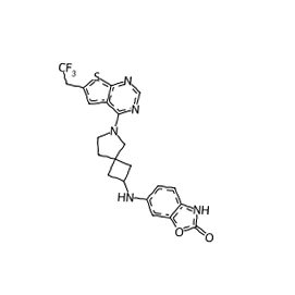 O=c1[nH]c2ccc(NC3CC4(CCN(c5ncnc6sc(CC(F)(F)F)cc56)C4)C3)cc2o1